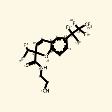 N#CCCNC(=S)C1(C(F)F)C=Cc2cc(C(F)(F)C(F)(F)C(F)(F)F)ccc2O1